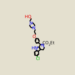 CCOC(=O)N1CCc2c([nH]c3ccc(Cl)cc23)C1c1ccc(OCCCN2CCN(CCO)CC2)cc1